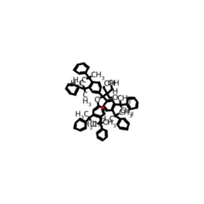 CC(C)(c1ccccc1)c1ccc(OC(c2ccc(C(C)(C)c3ccccc3)c(C(C)(C)c3ccccc3)c2)(c2ccc(C(C)(C)c3ccccc3)c(C(C)(C)c3ccccc3)c2)C(CO)(CO)CO)cc1C(C)(C)c1ccccc1